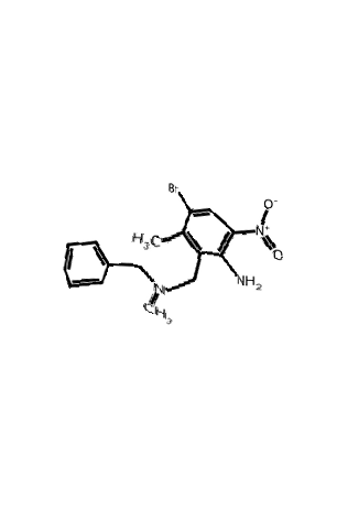 Cc1c(Br)cc([N+](=O)[O-])c(N)c1CN(C)Cc1ccccc1